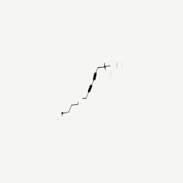 CC(=O)CCCOCC#CC#CCC(C)(C)C